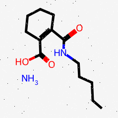 CCCCCNC(=O)C1=C(C(=O)O)CCCC1.N